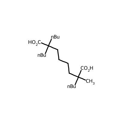 CCCCC(C)(CCCCC(CCCC)(CCCC)C(=O)O)C(=O)O